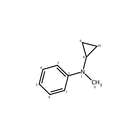 CN(c1ccccc1)C1CC1